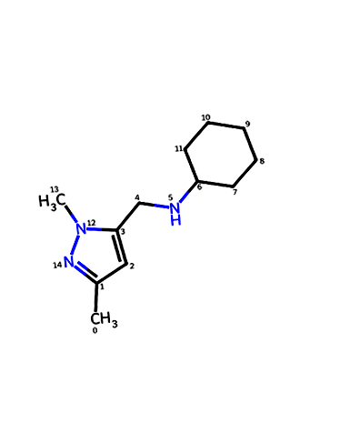 Cc1cc(CNC2CCCCC2)n(C)n1